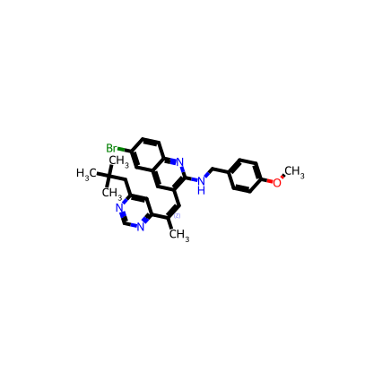 COc1ccc(CNc2nc3ccc(Br)cc3cc2/C=C(/C)c2cc(CC(C)(C)C)ncn2)cc1